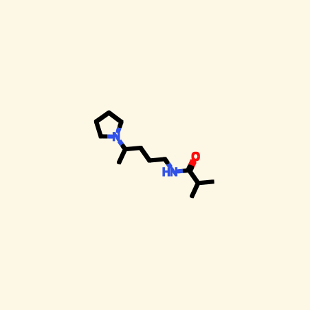 CC(C)C(=O)NCCCC(C)N1CCCC1